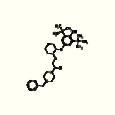 CC(C)(C)c1cc(SC2CCCCC2SCC(=O)N2CCN(Cc3ccccc3)CC2)cc(C(C)(C)C)c1O